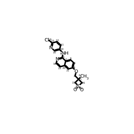 CC1(COc2ccc3c(Nc4ccc(Cl)nc4)nccc3c2)CS(=O)(=O)C1